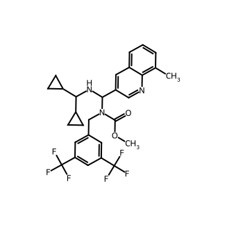 COC(=O)N(Cc1cc(C(F)(F)F)cc(C(F)(F)F)c1)C(NC(C1CC1)C1CC1)c1cnc2c(C)cccc2c1